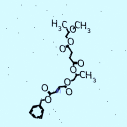 COC(C)COC(=O)CCC(=O)OC(C)COC(=O)/C=C/C(=O)OCc1ccccc1